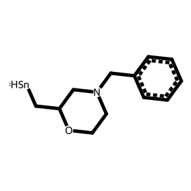 [SnH][CH2]C1CN(Cc2ccccc2)CCO1